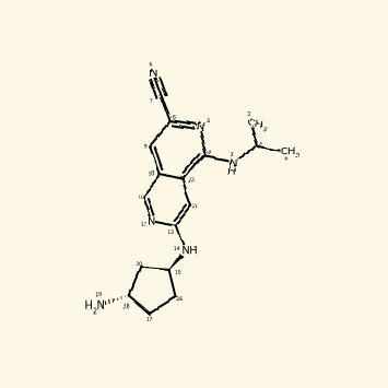 CC(C)Nc1nc(C#N)cc2cnc(N[C@H]3CC[C@H](N)C3)cc12